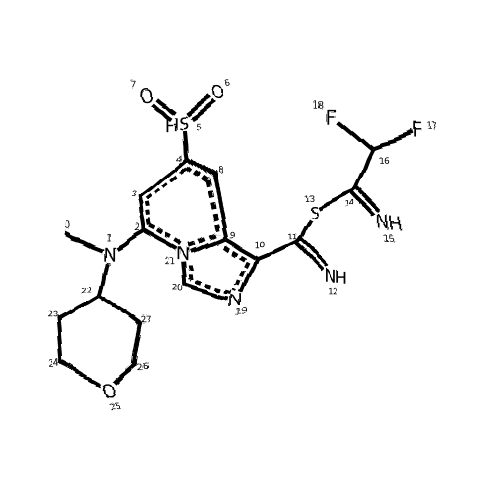 CN(c1cc([SH](=O)=O)cc2c(C(=N)SC(=N)C(F)F)ncn12)C1CCOCC1